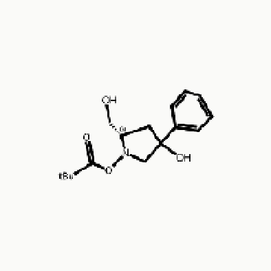 CC(C)(C)C(=O)ON1CC(O)(c2ccccc2)C[C@H]1CO